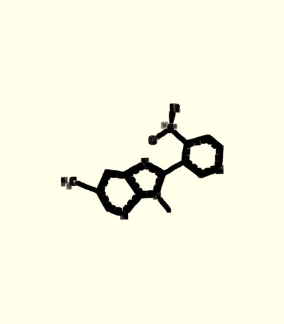 CC[S@+]([O-])c1ccncc1-c1nc2cc(C(F)(F)F)cnc2n1C